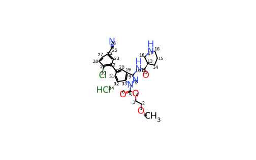 COCCOC(=O)n1nc(NC(=O)[C@@H]2CCCNC2)c2cc(-c3cc(C#N)ccc3Cl)ccc21.Cl